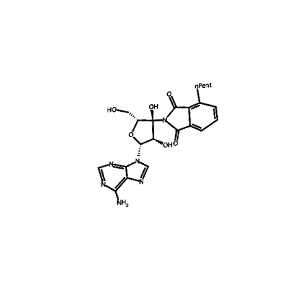 CCCCCc1cccc2c1C(=O)N([C@@]1(O)[C@@H](CO)O[C@@H](n3cnc4c(N)ncnc43)[C@@H]1O)C2=O